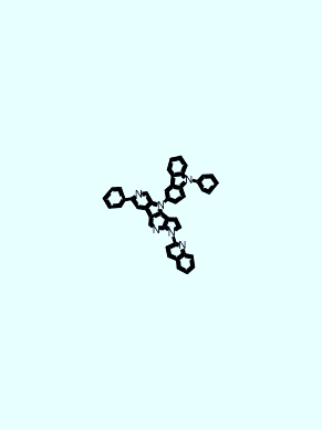 c1ccc(-c2cc3c4cnc5c(ccn5-c5ccc6ccccc6n5)c4n(-c4ccc5c(c4)c4ccccc4n5-c4ccccc4)c3cn2)cc1